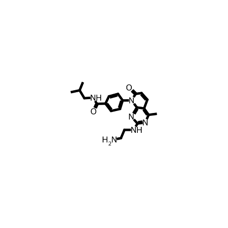 Cc1nc(NCCN)nc2c1ccc(=O)n2-c1ccc(C(=O)NCC(C)C)cc1